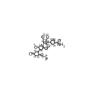 COc1cn(C(CC2COCCO2)C(=O)Nc2ccc(C(N)=O)nc2)c(=O)cc1-c1cc(Cl)ccc1OCCF